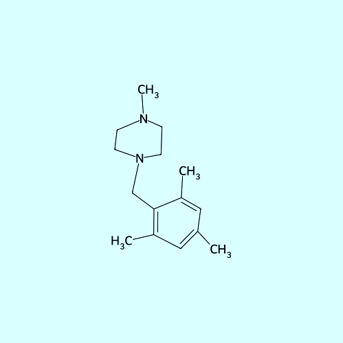 Cc1cc(C)c(CN2CCN(C)CC2)c(C)c1